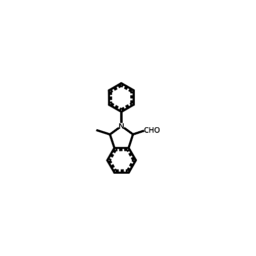 CC1c2ccccc2C(C=O)N1c1ccccc1